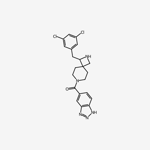 O=C(c1ccc2[nH]nnc2c1)N1CCC2(CC1)CNC2Cc1cc(Cl)cc(Cl)c1